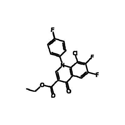 CCOC(=O)c1cn(-c2ccc(F)cc2)c2c(Cl)c(F)c(F)cc2c1=O